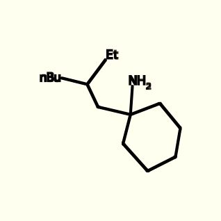 CCCCC(CC)CC1(N)CCCCC1